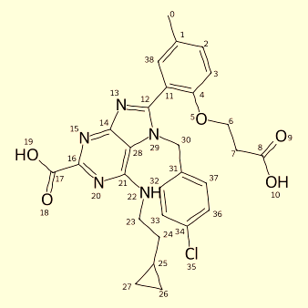 Cc1ccc(OCCC(=O)O)c(-c2nc3nc(C(=O)O)nc(NCCC4CC4)c3n2Cc2ccc(Cl)cc2)c1